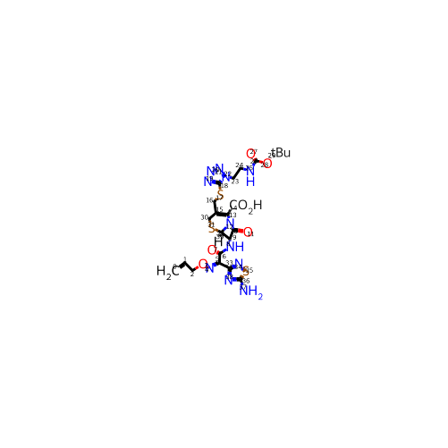 C=CCO/N=C(\C(=O)NC1C(=O)N2C(C(=O)O)=C(CSc3nnnn3CCNC(=O)OC(C)(C)C)CS[C@H]12)c1nsc(N)n1